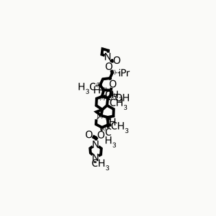 CC(C)[C@@H](OC(=O)N1CCC1)C1C[C@@H](C)[C@H]2C(O1)[C@H](O)[C@@]1(C)C3CC[C@H]4C(C)(C)[C@@H](OC(=O)N5CCN(C)CC5)CC[C@@]45CC35CC[C@]21C